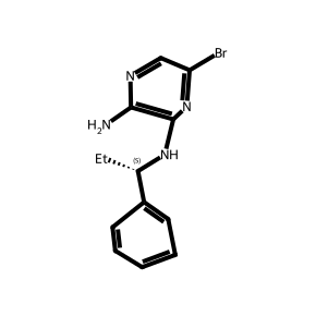 CC[C@H](Nc1nc(Br)cnc1N)c1ccccc1